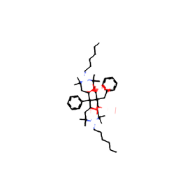 CCCCCCN1C(C)(C)CC(C(c2ccccc2)(C2CC(C)(C)N(CCCCCC)C(C)(C)C2)C(Cc2ccccc2)(C(=O)O)C(=O)O)CC1(C)C